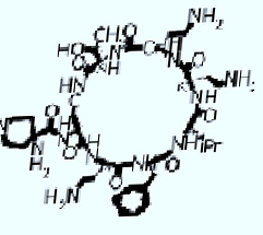 CC(C)C[C@@H]1NC(=O)[C@@H](Cc2ccccc2)NC(=O)[C@H](CCN)NC(=O)[C@@H](NC(=O)C2(N)CCNCC2)CCNC(=O)[C@H]([C@@H](C)O)NC(=O)C[C@H](CCN)NC(=O)[C@H](CCN)NC1=O